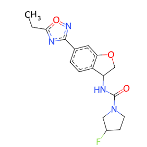 CCc1nc(-c2ccc3c(c2)OCC3NC(=O)N2CCC(F)C2)no1